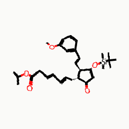 COc1cccc(/C=C/[C@H]2[C@H](O[Si](C)(C)C(C)(C)C)CC(=O)[C@@H]2C/C=C/CCCC(=O)OC(C)C)c1